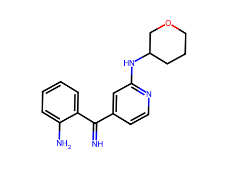 N=C(c1ccnc(NC2CCCOC2)c1)c1ccccc1N